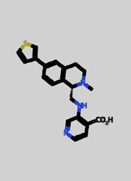 CN1CCc2cc(-c3ccsc3)ccc2[C@H]1CNc1cnccc1C(=O)O